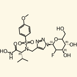 COc1ccc(S(=O)(=O)N(Cc2cn([C@H]3OC(CO)[C@H](O)[C@@H](O)C3F)nn2)[C@@H](C(=O)NO)C(C)C)cc1